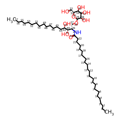 CCCCCCCCCCCCCCCCCCCCCCCC(=O)N[C@@H](COC1O[C@@H](CO)C(O)C(O)C1O)[C@H](O)[C@H](O)CCCCCCCCCCCCCC